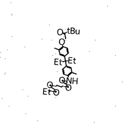 CCC(CC)(c1ccc(NS(=O)(=O)CCS(=O)(=O)CC)c(C)c1)c1ccc(OCC(=O)C(C)(C)C)c(C)c1